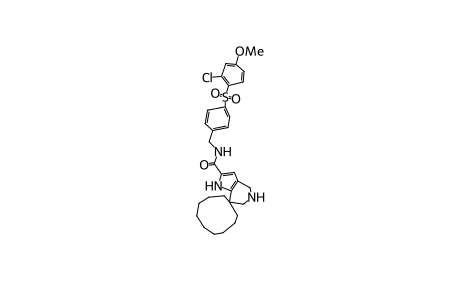 COc1ccc(S(=O)(=O)c2ccc(CNC(=O)c3cc4c([nH]3)C3(CCCCCCCCC3)CNC4)cc2)c(Cl)c1